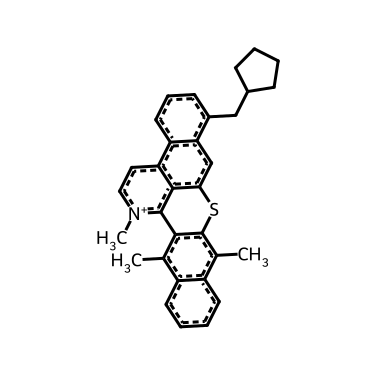 Cc1c2c(c(C)c3ccccc13)-c1c3c(cc4c(CC5CCCC5)cccc4c3cc[n+]1C)S2